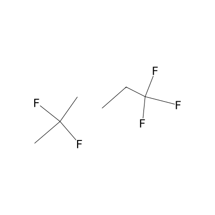 CC(C)(F)F.CCC(F)(F)F